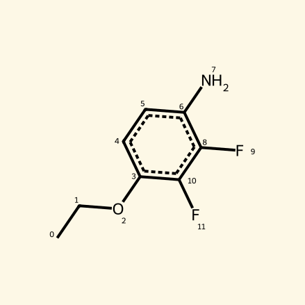 CCOc1ccc(N)c(F)c1F